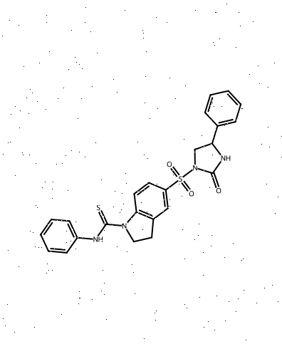 O=C1NC(c2ccccc2)CN1S(=O)(=O)c1ccc2c(c1)CCN2C(=S)Nc1ccccc1